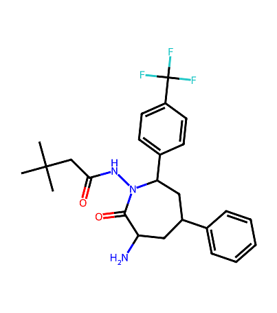 CC(C)(C)CC(=O)NN1C(=O)C(N)CC(c2ccccc2)CC1c1ccc(C(F)(F)F)cc1